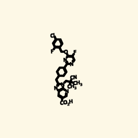 CC(C)(C#N)Cn1c(CC2CC=C(c3ncc(F)c(OCc4ccc(Cl)cc4F)n3)CC2)nc2cc(C(=O)O)cnc21